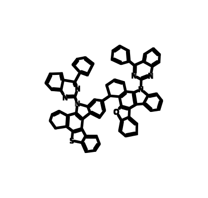 C1=Cc2c(c3sc4ccccc4c3c3c4ccc(C5CC=Cc6c5c5oc7ccccc7c5c5c7ccccc7n(-c7nc(-c8ccccc8)c8ccccc8n7)c65)cc4n(-c4nc(-c5ccccc5)c5ccccc5n4)c23)CC1